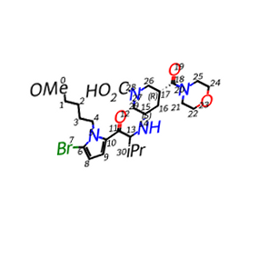 COCCCCn1c(Br)ccc1C(=O)C(N[C@H]1C[C@@H](C(=O)N2CCOCC2)CN(C(=O)O)C1)C(C)C